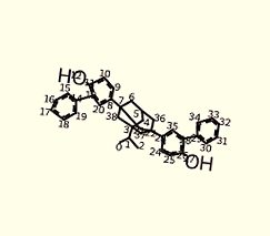 CC(C)C12CC3CC(c4ccc(O)c(-c5ccccc5)c4)(CC(c4ccc(O)c(-c5ccccc5)c4)(C3)C1)C2